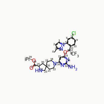 Cc1ccn(-c2cc(Cl)ccc2[C@@H](Oc2cc(N3CCC4(CC3)CNC(C(=O)OC(C)C)C4)nc(N)n2)C(F)(F)F)n1